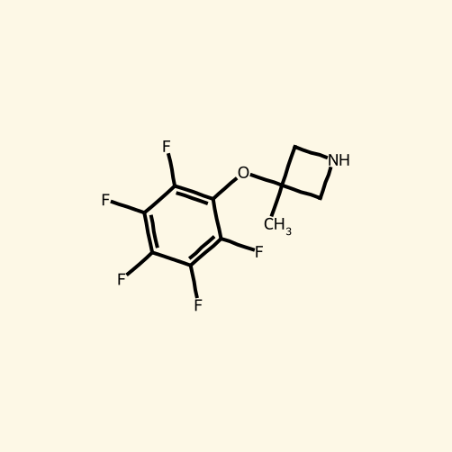 CC1(Oc2c(F)c(F)c(F)c(F)c2F)CNC1